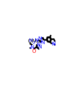 COCCN(C)C(=O)c1cnn(-c2nc(-c3cc(C)c4c(c3)CN(C)CC4)cnc2N)c1